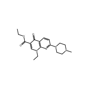 CCOC(=O)c1cn(CC)c2nc(N3CCN(C)CC3)ccc2c1=O